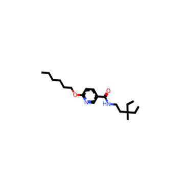 CCCCCCOc1ccc(C(=O)NCCC(C)(CC)CC)cn1